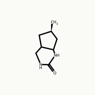 C[C@@H]1CC2CNC(=O)NC2C1